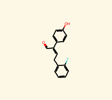 O=CC(=CCc1ccccc1F)c1ccc(O)cc1